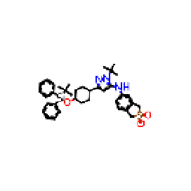 CC(C)(C)n1nc(C2CCC(O[Si](c3ccccc3)(c3ccccc3)C(C)(C)C)CC2)cc1Nc1ccc2c(c1)CS(=O)(=O)C2